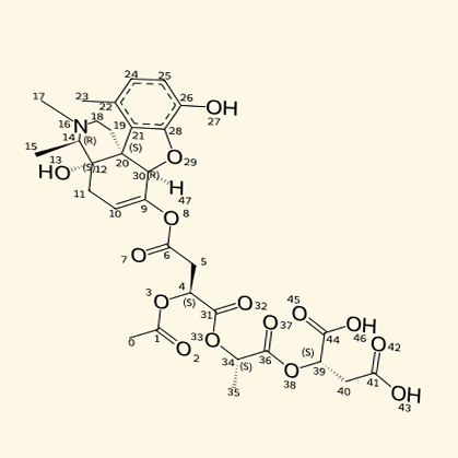 CC(=O)O[C@@H](CC(=O)OC1=CC[C@@]2(O)[C@@H](C)N(C)CC[C@@]23c2c(C)ccc(O)c2O[C@@H]13)C(=O)O[C@@H](C)C(=O)O[C@@H](CC(=O)O)C(=O)O